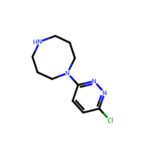 Clc1ccc(N2CCCNCCC2)nn1